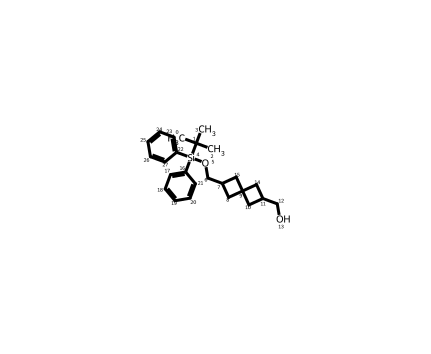 CC(C)(C)[Si](OCC1CC2(CC(CO)C2)C1)(c1ccccc1)c1ccccc1